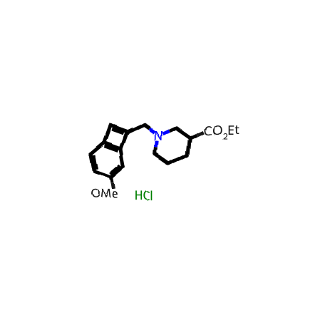 CCOC(=O)C1CCCN(CC2=Cc3ccc(OC)cc32)C1.Cl